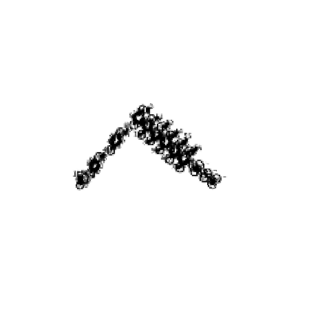 CCO[n+]1ccc(OC)cc1.CCO[n+]1ccc(OC)cc1.CCO[n+]1ccc(OC)cc1.CCO[n+]1ccc(OC)cc1.CCO[n+]1ccc(OC)cc1.CCO[n+]1ccc(OC)cc1.CCO[n+]1ccc(OC)cc1.CCO[n+]1ccc(OC)cc1.[O-]B([O-])F.[O-]B([O-])F.[O-]B([O-])F.[O-]B([O-])F